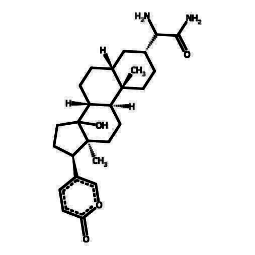 C[C@]12CC[C@@H](C(N)C(N)=O)C[C@H]1CC[C@@H]1[C@@H]2CC[C@@]2(C)[C@@H](c3ccc(=O)oc3)CCC12O